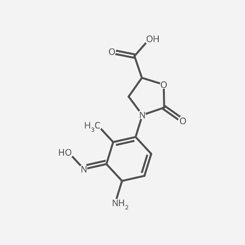 CC1=C(N2CC(C(=O)O)OC2=O)C=CC(N)C1=NO